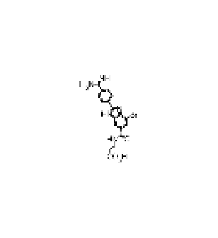 N=C(N)c1ccc(-c2nc3c(Br)cc(C(=O)NCCC(=O)O)cc3[nH]2)cc1